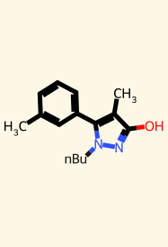 CCCCn1nc(O)c(C)c1-c1cccc(C)c1